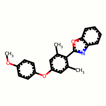 COc1ccc(Oc2cc(C)c(-c3nc4ccccc4o3)c(C)c2)cc1